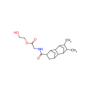 CC1C(C)C2CC1C1C3CC(C(=O)NCC(=O)OCCO)C(C3)C21